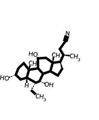 CC[C@H]1[C@@H](O)C2C3CC[C@H]([C@H](C)CC#N)[C@@]3(C)C[C@H](O)C2[C@@]2(C)CC[C@@H](O)C[C@@H]12